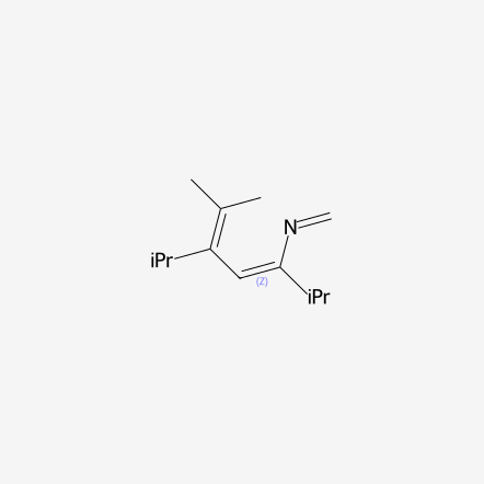 C=N/C(=C\C(=C(C)C)C(C)C)C(C)C